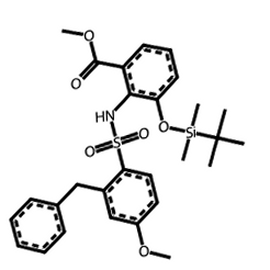 COC(=O)c1cccc(O[Si](C)(C)C(C)(C)C)c1NS(=O)(=O)c1ccc(OC)cc1Cc1ccccc1